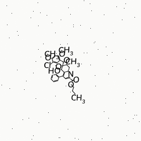 CCCCOC(=O)c1cc(-c2ccccc2)c2c(n1)C[C@@H](C)[C@]1(Oc3c(Cl)c(OC)cc(OC)c3C1=O)C2O